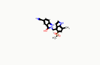 Cc1cc(S(C)(=O)=O)c(Cn2nc3ccc(C#N)cc3c2O)c2cc[nH]c12